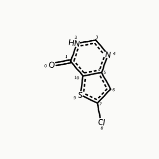 O=c1[nH]cnc2cc(Cl)sc12